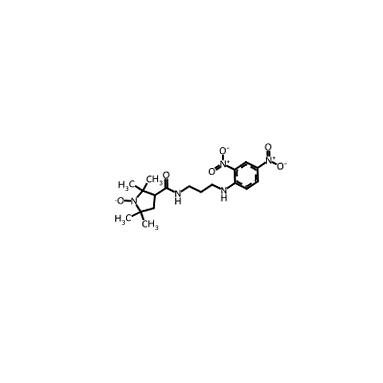 CC1(C)CC(C(=O)NCCCNc2ccc([N+](=O)[O-])cc2[N+](=O)[O-])C(C)(C)N1[O]